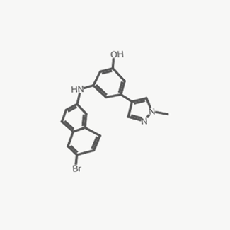 Cn1cc(-c2cc(O)cc(Nc3ccc4cc(Br)ccc4c3)c2)cn1